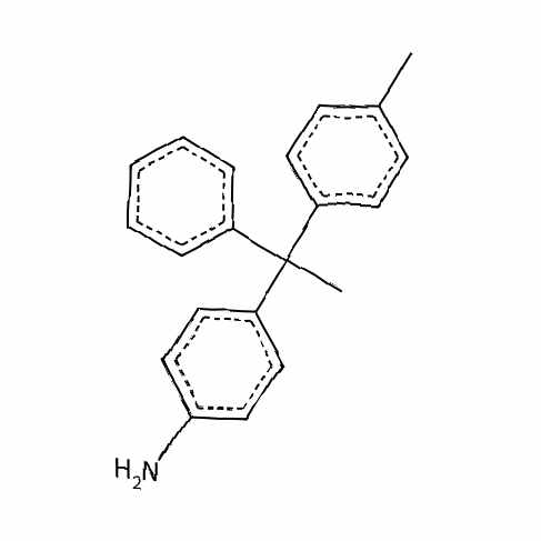 Cc1ccc(C(C)(c2ccccc2)c2ccc(N)cc2)cc1